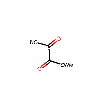 COC(=O)C(=O)C#N